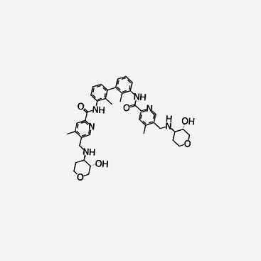 Cc1cc(C(=O)Nc2cccc(-c3cccc(NC(=O)c4cc(C)c(CN[C@@H]5CCOC[C@H]5O)cn4)c3C)c2C)ncc1CN[C@@H]1CCOC[C@H]1O